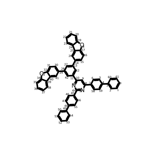 c1ccc(-c2ccc(-c3cc(-c4cc(-c5ccc6oc7ccccc7c6c5)cc(-c5ccc6oc7ccccc7c6c5)c4)nc(-c4ccc(-c5ccccc5)cc4)n3)cc2)cc1